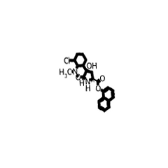 CN1O[C@H]2N[C@H](C(=O)Oc3cccc4ccccc34)C[C@@]2(O)C2CCCC(Cl)C21